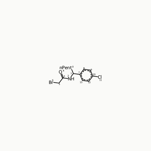 CCCCCC(NC(=O)CBr)c1ccc(Cl)cc1